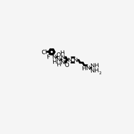 N=C(N)NCCCCCN1CCN(c2c[nH]c(NC(=O)Nc3cccc(Cl)c3F)nc2=O)CC1